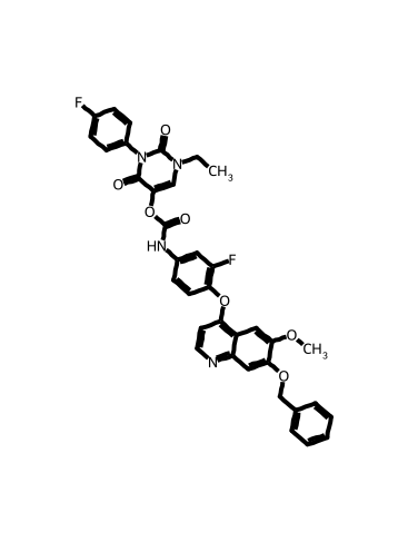 CCn1cc(OC(=O)Nc2ccc(Oc3ccnc4cc(OCc5ccccc5)c(OC)cc34)c(F)c2)c(=O)n(-c2ccc(F)cc2)c1=O